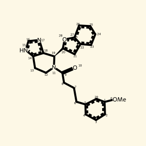 COc1cccc(CCCC(=O)N2CCc3[nH]cnc3[C@H]2c2cc3ccccc3o2)c1